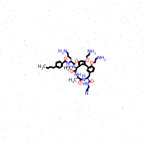 CCCCc1ccc(C(=O)N[C@@H](CCCN)C(=O)N(C)[C@@H]2C(=O)N[C@@H](C)C(=O)N[C@H](C(=O)NCC#N)Cc3ccc(OCCN)c(c3)-c3cc2ccc3OCCN)cc1